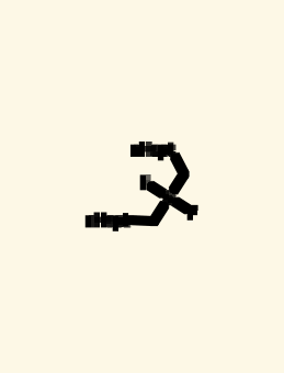 CCCCCCCC[Si](F)(F)CCCCCCCC